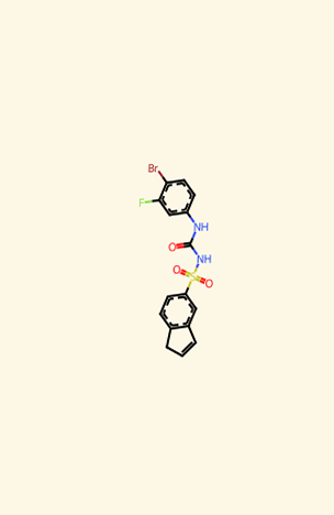 O=C(Nc1ccc(Br)c(F)c1)NS(=O)(=O)c1ccc2c(c1)C=CC2